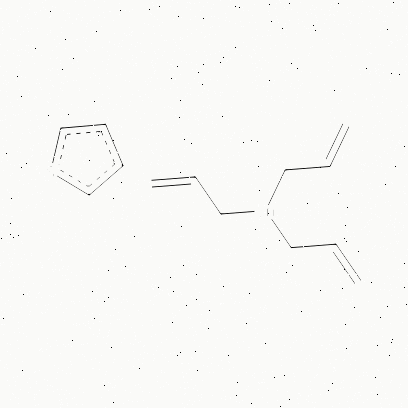 C=C[CH2][Sn]([CH2]C=C)[CH2]C=C.c1ccsc1